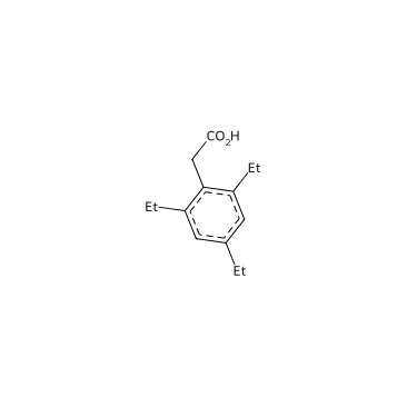 CCc1cc(CC)c(CC(=O)O)c(CC)c1